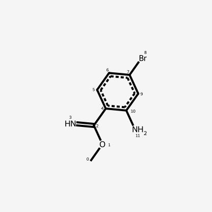 COC(=N)c1ccc(Br)cc1N